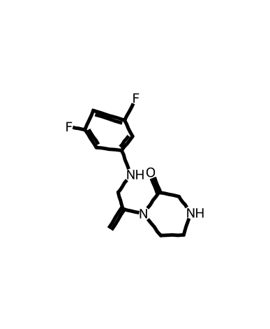 C=C(CNc1cc(F)cc(F)c1)N1CCNCC1=O